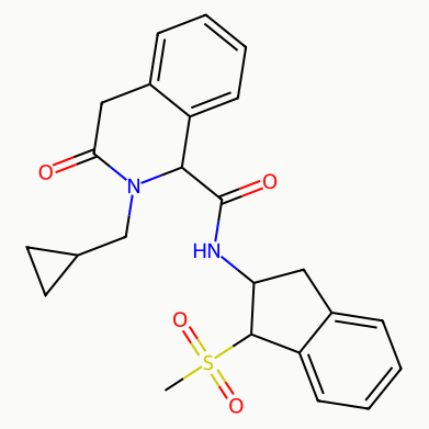 CS(=O)(=O)C1c2ccccc2CC1NC(=O)C1c2ccccc2CC(=O)N1CC1CC1